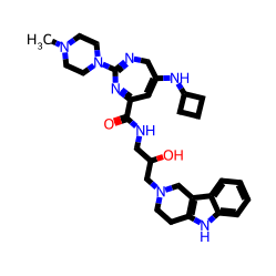 CN1CCN(C2=NCC(NC3CCC3)=CC(C(=O)NCC(O)CN3CCc4[nH]c5ccccc5c4C3)=N2)CC1